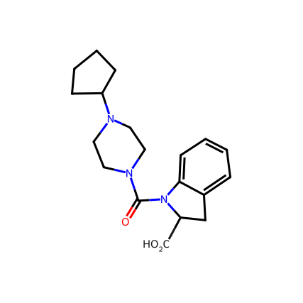 O=C(O)C1Cc2ccccc2N1C(=O)N1CCN(C2CCCC2)CC1